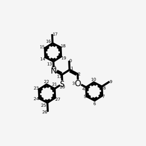 CC(=COc1cccc(C)c1)C(=Nc1ccc(C)cc1)Sc1cccc(C)c1